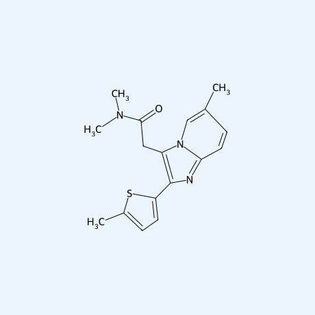 Cc1ccc2nc(-c3ccc(C)s3)c(CC(=O)N(C)C)n2c1